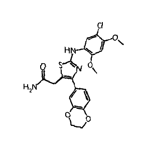 COc1cc(OC)c(Nc2nc(-c3ccc4c(c3)OCCO4)c(CC(N)=O)s2)cc1Cl